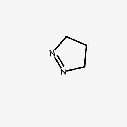 [CH]1CN=NC1